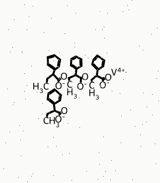 CCC(C(=O)[O-])c1ccccc1.CCC(C(=O)[O-])c1ccccc1.CCC(C(=O)[O-])c1ccccc1.CCC(C(=O)[O-])c1ccccc1.[V+4]